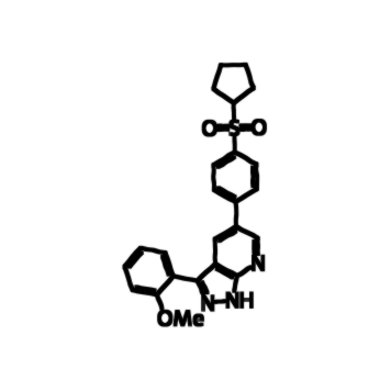 COc1ccccc1-c1n[nH]c2ncc(-c3ccc(S(=O)(=O)C4CCCC4)cc3)cc12